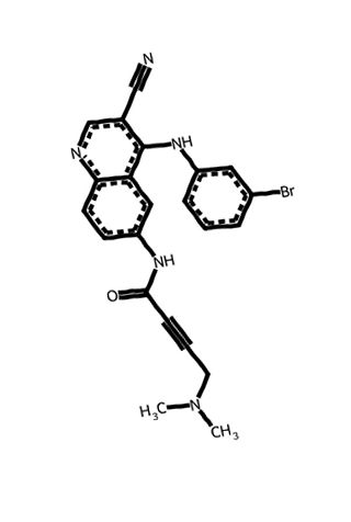 CN(C)CC#CC(=O)Nc1ccc2ncc(C#N)c(Nc3cccc(Br)c3)c2c1